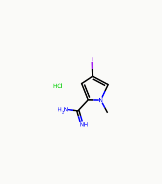 Cl.Cn1cc(I)cc1C(=N)N